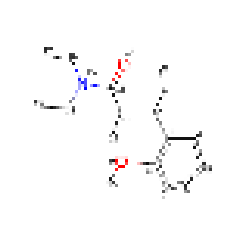 CCC(c1ccccc1OC)C(C)C(=O)N(CC)CC